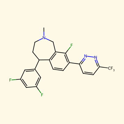 CN1CCC(c2cc(F)cc(F)c2)c2ccc(-c3ccc(C(F)(F)F)nn3)c(F)c2C1